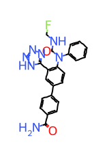 NC(=O)c1ccc(-c2ccc(N(C(=O)NCF)c3ccccc3)c(-c3nnn[nH]3)c2)cc1